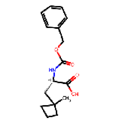 CC1(C[C@H](NC(=O)OCc2ccccc2)C(=O)O)CCC1